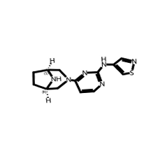 c1cc(N2C[C@H]3CC[C@@H](C2)N3)nc(Nc2cnsc2)n1